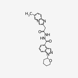 Cc1ccc2nc(CC(=O)NNC(=O)c3cccc4c3cnn4C3CCCCO3)cn2c1